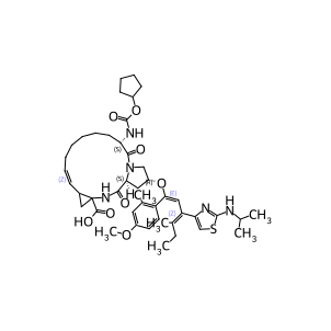 CC/C(C)=C(/C=C(/O[C@@H]1C[C@H]2C(=O)NC3(C(=O)O)CC3/C=C\CCCCC[C@H](NC(=O)OC3CCCC3)C(=O)N2C1)c1ccc(OC)cc1C)c1csc(NC(C)C)n1